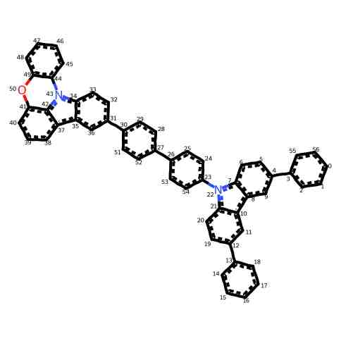 c1ccc(-c2ccc3c(c2)c2cc(-c4ccccc4)ccc2n3-c2ccc(-c3ccc(-c4ccc5c(c4)c4cccc6c4n5-c4ccccc4O6)cc3)cc2)cc1